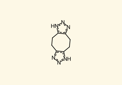 C1Cc2[nH]nnc2CCc2[nH]nnc21